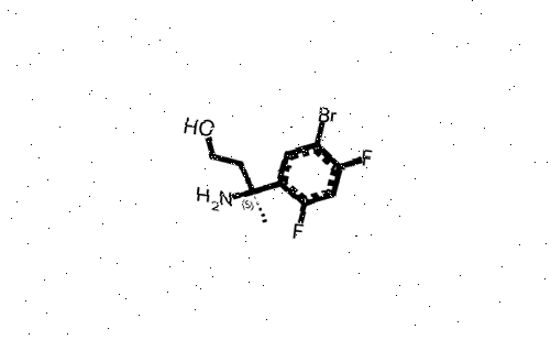 C[C@](N)(CCO)c1cc(Br)c(F)cc1F